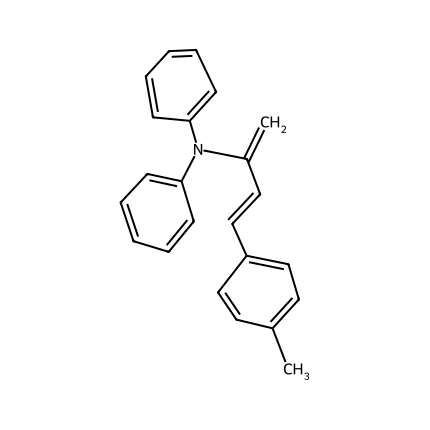 C=C(/C=C/c1ccc(C)cc1)N(c1ccccc1)c1ccccc1